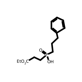 CCOC(=O)CCP(=O)(O)CCCc1ccccc1